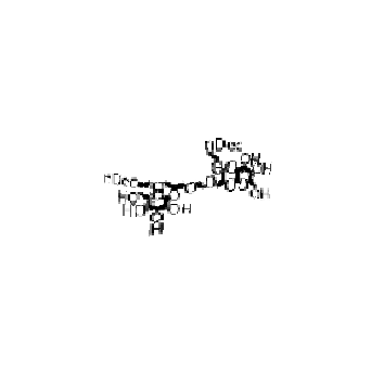 CCCCCCCCCCCCOCC(COCCOCC(COCCCCCCCCCCCC)O[C@@H]1OC(CO)[C@@H](O)C(O)[C@@H]1O)O[C@@H]1OC(CO)[C@@H](O)C(O)[C@@H]1O